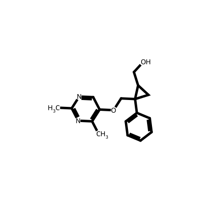 Cc1ncc(OCC2(c3ccccc3)CC2CO)c(C)n1